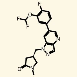 CN1C[C@H](Cn2ncc3ncc(-c4ccc(F)c(OC(F)F)c4)cc32)CC1=O